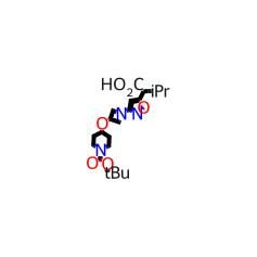 CC(C)C(C(=O)O)c1cc(N2CC(OC3CCN(C(=O)OC(C)(C)C)CC3)C2)no1